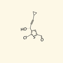 O=Cc1cc([C@H](O)C#CC2CC2)c(Cl)s1